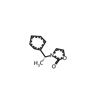 C[C@H](c1ccccc1)n1ccoc1=O